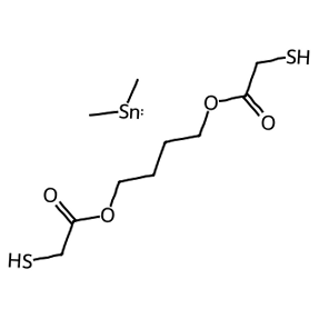 O=C(CS)OCCCCOC(=O)CS.[CH3][Sn][CH3]